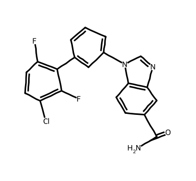 NC(=O)c1ccc2c(c1)ncn2-c1cccc(-c2c(F)ccc(Cl)c2F)c1